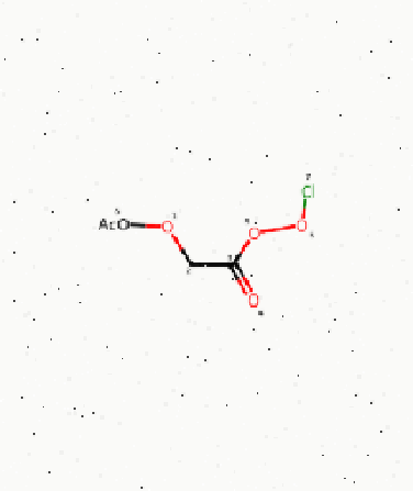 CC(=O)OOCC(=O)OOCl